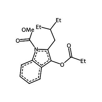 CCC(=O)Oc1c(CC(CC)CC)n(C(=O)OC)c2ccccc12